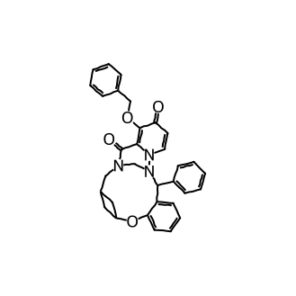 O=C1c2c(OCc3ccccc3)c(=O)ccn2N2CN1CC1CC(C1)Oc1ccccc1C2c1ccccc1